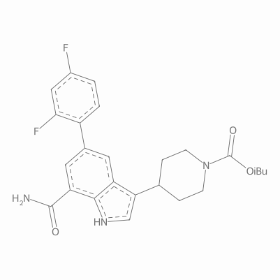 CC(C)COC(=O)N1CCC(c2c[nH]c3c(C(N)=O)cc(-c4ccc(F)cc4F)cc23)CC1